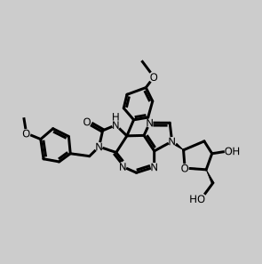 COc1ccc(CN2C(=O)NC3(c4ccc(OC)cc4)C2=NC=Nc2c3ncn2[C@H]2CC(O)[C@@H](CO)O2)cc1